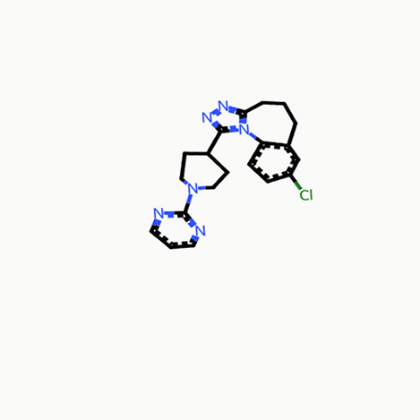 Clc1ccc2c(c1)CCCc1nnc(C3CCN(c4ncccn4)CC3)n1-2